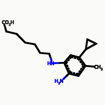 Cc1cc(N)c(NCCCCCCC(=O)O)cc1C1CC1